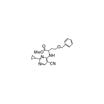 COC(=O)C(CCOCc1ccccc1)Nc1nc(C2CC2)ncc1C#N